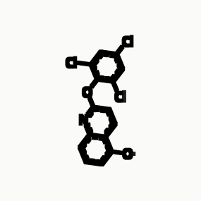 [O]c1cccc2nc(Oc3c(Cl)cc(Cl)cc3Cl)ccc12